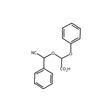 N#CC(OC(Oc1ccccc1)C(=O)O)c1ccccc1